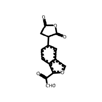 O=CC(=O)c1occ2cc(C3CC(=O)OC3=O)ccc12